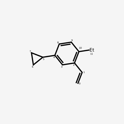 C=Cc1cc(C2CC2)ccc1CC